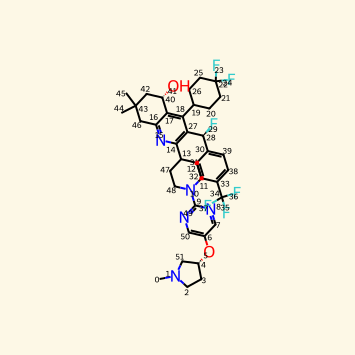 CN1CC[C@@H](Oc2cnc(N3CCC(c4nc5c(c(C6CCC(F)(F)CC6)c4[C@@H](F)c4ccc(C(F)(F)F)cc4)[C@@H](O)CC(C)(C)C5)CC3)nc2)C1